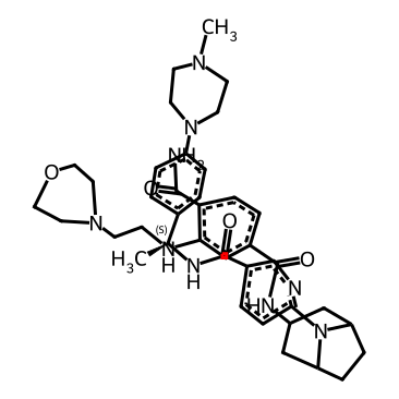 C[C@H](NC(=O)c1ccc(N2C3CCC2CC(NC(=O)c2ccc(C(N)=O)c(NCCN4CCOCC4)c2)C3)nc1)c1ccc(N2CCN(C)CC2)cc1